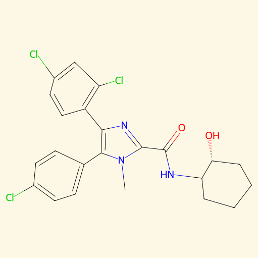 Cn1c(C(=O)NC2CCCC[C@H]2O)nc(-c2ccc(Cl)cc2Cl)c1-c1ccc(Cl)cc1